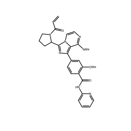 C=CC(=O)N1CCCC1c1nc(-c2ccc(C(=O)Nc3ccccn3)c(OC)c2)c2c(NC)nccn12